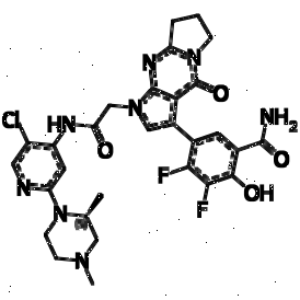 C[C@H]1CN(C)CCN1c1cc(NC(=O)Cn2cc(-c3cc(C(N)=O)c(O)c(F)c3F)c3c(=O)n4c(nc32)CCC4)c(Cl)cn1